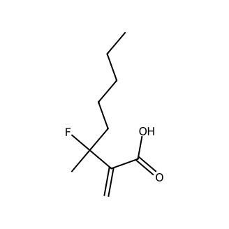 C=C(C(=O)O)C(C)(F)CCCCC